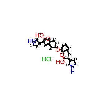 Cl.O=C(O)[C@@H](Cc1cccc(Oc2cccc(C[C@H](C(=O)O)[C@H]3CCNC3)c2)c1)[C@H]1CCNC1